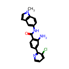 Cn1ccc2cc(NC(=O)c3ccc(-c4ncccc4Cl)cc3N)ccc21